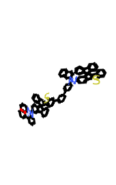 c1ccc(-c2ccccc2N(c2ccccc2)c2ccc3c(c2)-c2ccccc2C32c3ccccc3-c3sc4cc(-c5cccc(-c6ccc(N(c7ccc8c(c7)C7(c9ccccc9-c9ccccc97)c7c-8sc8ccccc78)c7ccc8ccccc8c7)cc6)c5)ccc4c32)cc1